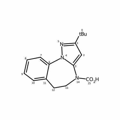 CC(C)(C)c1cc2n(n1)-c1ccccc1CCN2C(=O)O